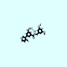 COc1cc(CNC(=O)c2cc(CN)cc(-c3cnccc3C)c2)cc(OC)c1